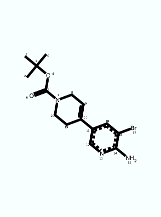 CC(C)(C)OC(=O)N1CC=C(c2cnc(N)c(Br)c2)CC1